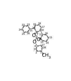 Cc1ccc(OC(=O)Oc2c(-c3ccccc3)cccc2-c2ccccc2)cc1